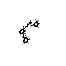 CN(CCOc1cccc(OCc2ccccc2)c1)Cc1ccccc1